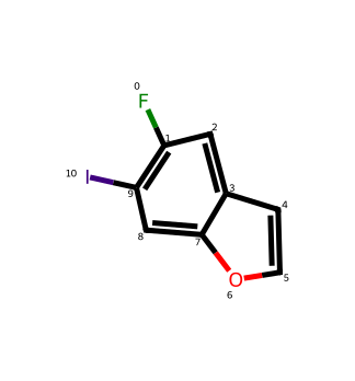 Fc1cc2ccoc2cc1I